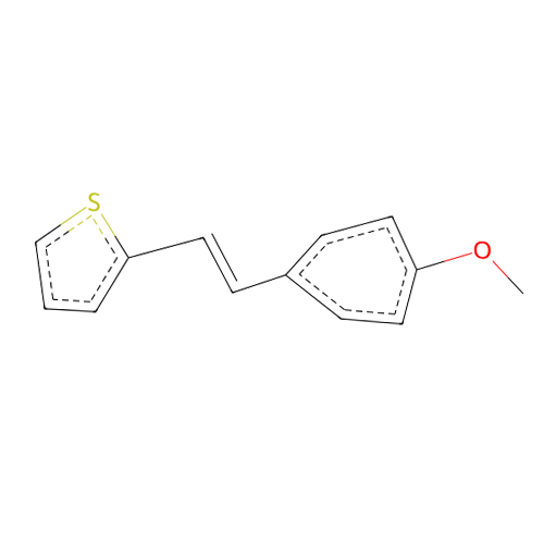 COc1ccc(C=Cc2cccs2)cc1